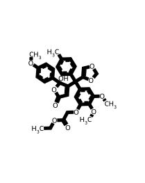 CCOC(=O)COc1cc(C(C2=COCO2)(C2=CC(=O)OC2(O)c2ccc(OC)cc2)c2ccc(C)cc2)cc(OC)c1OC